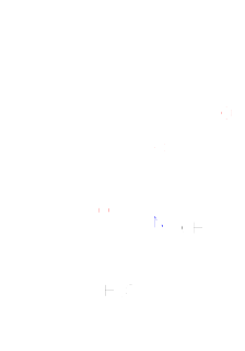 CCCN(C)C(COCc1ccccc1)C(/C=C\C=O)OCc1ccccc1